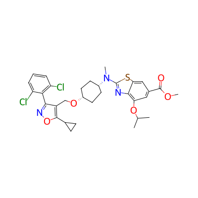 COC(=O)c1cc(OC(C)C)c2nc(N(C)[C@H]3CC[C@@H](OCc4c(-c5c(Cl)cccc5Cl)noc4C4CC4)CC3)sc2c1